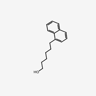 OCCCCCCc1cccc2ccccc12